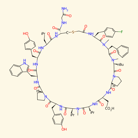 CCCC[C@H]1C(=O)N2CCC[C@@H]2C(=O)N[C@@H](CC(=O)O)C(=O)N[C@@H](C(C)C)C(=O)N(C)[C@@H](C(C)C)C(=O)N[C@@H](Cc2ccc(O)cc2)C(=O)N2CCC[C@@H]2C(=O)N[C@@H](Cc2c[nH]c3ccccc23)C(=O)N[C@@H](Cc2ccc(O)cc2)C(=O)N[C@@H](CC(C)C)C(=O)N[C@H](C(=O)NCC(N)=O)CSCC(=O)N[C@@H](Cc2ccc(F)cc2)C(=O)N(C)[C@@H](Cc2ccccc2)C(=O)N1C